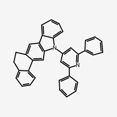 c1ccc(-c2cc(-n3c4ccccc4c4cc5c(cc43)-c3ccccc3CC5)cc(-c3ccccc3)n2)cc1